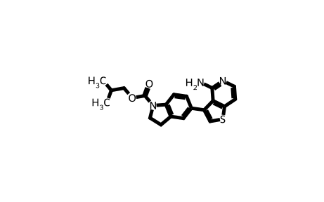 CC(C)COC(=O)N1CCc2cc(-c3csc4ccnc(N)c34)ccc21